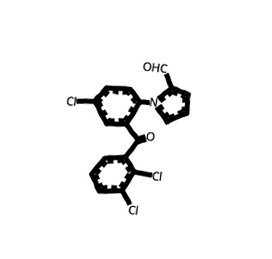 O=Cc1cccn1-c1ccc(Cl)cc1C(=O)c1cccc(Cl)c1Cl